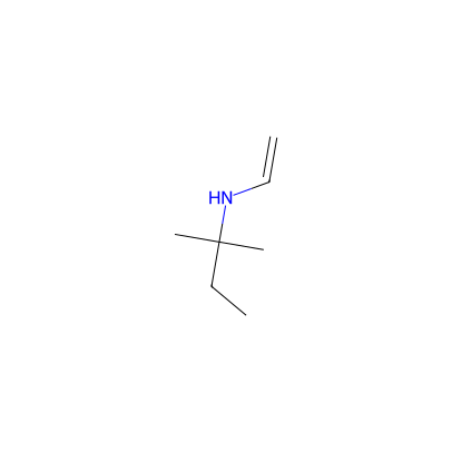 C=CNC(C)(C)CC